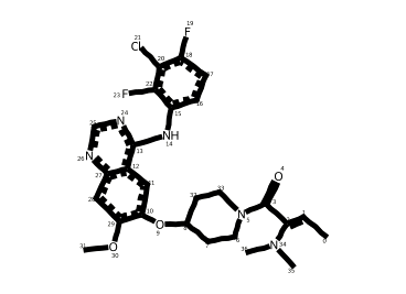 CC=C(C(=O)N1CCC(Oc2cc3c(Nc4ccc(F)c(Cl)c4F)ncnc3cc2OC)CC1)N(C)C